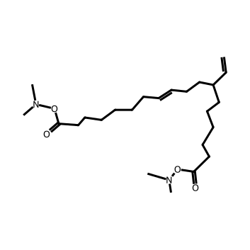 C=CC(CCC=CCCCCCCC(=O)ON(C)C)CCCCCC(=O)ON(C)C